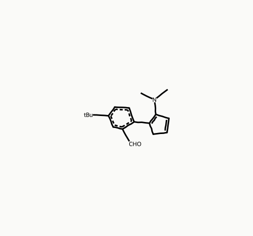 CN(C)C1=C(c2ccc(C(C)(C)C)cc2C=O)CC=C1